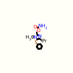 CC(C)c1nc(COC(N)=O)n(C)c1Sc1ccccc1